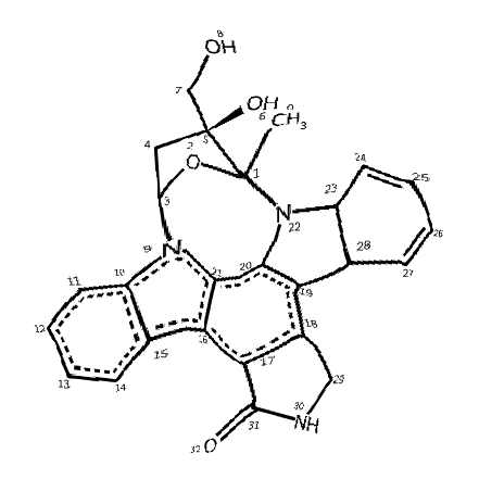 CC12OC(C[C@]1(O)CO)n1c3ccccc3c3c4c(c5c(c31)N2C1C=CC=CC51)CNC4=O